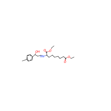 CCOC(=O)CCCCCCC(NCCC(O)c1ccc(C)cc1)C(=O)OCC